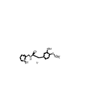 CCCCCCCCCCOc1ccc(CC(=O)NCc2cccc[n+]2CC)cc1C(C)(C)C.[I-]